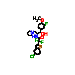 COc1ccc(C(O)C(CN2CCCC2)NC(=O)C(F)(F)c2cc3cc(Cl)ccc3s2)cc1F